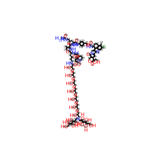 CC[C@@]1(O)C(=O)OCc2c1cc1n(c2=O)Cc2c-1nc1cc(F)c(C)c3c1c2[C@@H](NC(=O)OCc1ccc(NC(=O)[C@H](CCCNC(N)=O)NC(=O)[C@@H](NC(=O)[C@H](CCCCNC(=O)C(O)COCC(O)COCC(O)COCC(O)COCC(O)COCC(O)COCC(O)CN(C[C@H](O)[C@@H](O)[C@H](O)[C@H](O)CO)C[C@H](O)[C@@H](O)[C@H](O)[C@H](O)CO)NC(=O)CCCCCN2C(=O)C=CC2=O)C(C)C)cc1)CC3